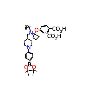 CC(C)N(CC1CCN(c2ccc(B3OC(C)(C)C(C)(C)O3)cc2)CC1)C1(Oc2ccc(C(=O)O)c(C(=O)O)c2)CCC1